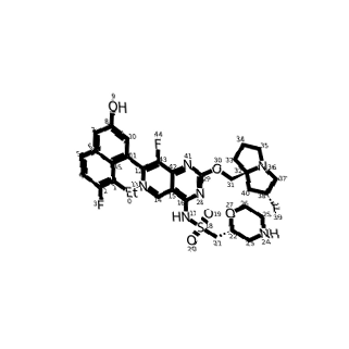 CCc1c(F)ccc2cc(O)cc(-c3ncc4c(NS(=O)(=O)C[C@H]5CNCCO5)nc(OC[C@@]56CCCN5C[C@H](F)C6)nc4c3F)c12